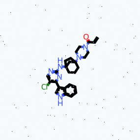 C=CC(=O)N1CCN(C23CCCC(Nc4ncc(Cl)c(-c5c[nH]c6ccccc56)n4)(CC2)C3)CC1